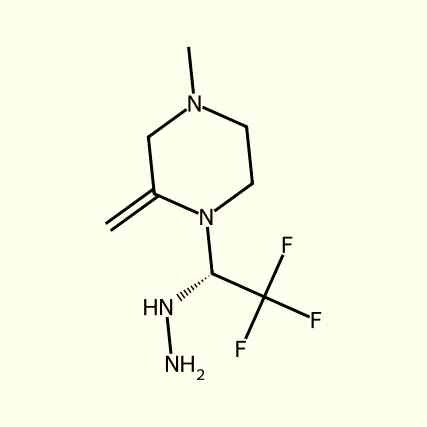 C=C1CN(C)CCN1[C@@H](NN)C(F)(F)F